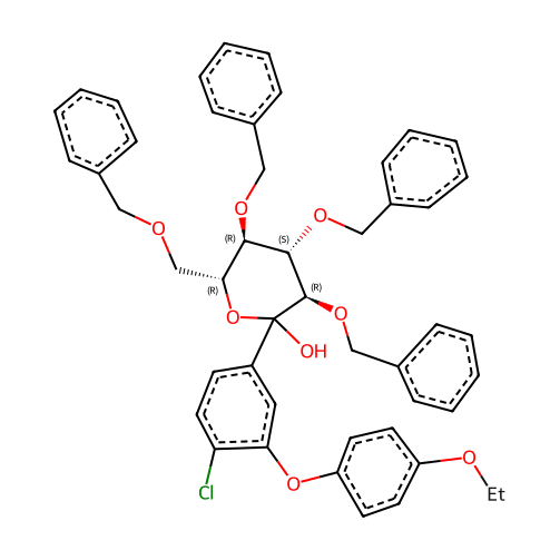 CCOc1ccc(Oc2cc(C3(O)O[C@H](COCc4ccccc4)[C@@H](OCc4ccccc4)[C@H](OCc4ccccc4)[C@H]3OCc3ccccc3)ccc2Cl)cc1